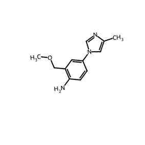 COCc1cc(-n2cnc(C)c2)ccc1N